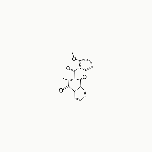 COc1ccccc1C(=O)C1=C(C)C(=O)C2C=CC=CC2C1=O